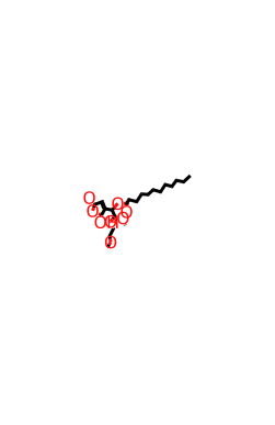 CCCCCCCCCCCC(=O)OC(C1=CC(=O)OC1O)C(OC)OCCOC